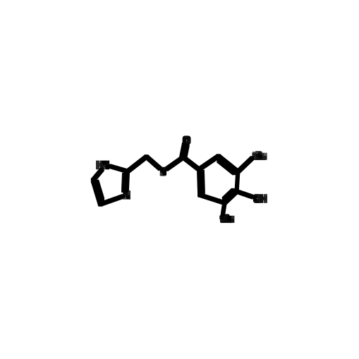 CC(C)(C)c1cc(C(=O)SCc2ncc[nH]2)cc(C(C)(C)C)c1O